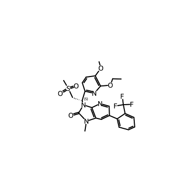 CCOc1nc([C@@H](CS(C)(=O)=O)n2c(=O)n(C)c3cc(-c4ccccc4C(F)(F)F)cnc32)ccc1OC